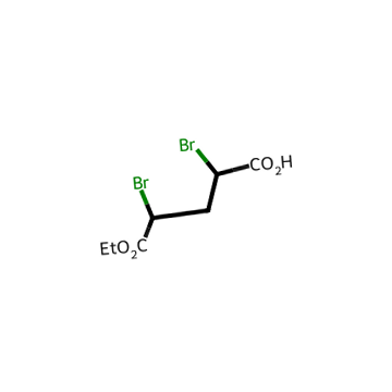 CCOC(=O)C(Br)CC(Br)C(=O)O